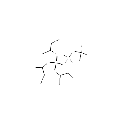 CCC(C)O[Si](OC(C)CC)(OC(C)CC)[O][Zr]([OH])([OH])[O]C(C)(C)C